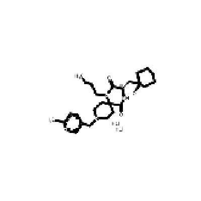 CCCCN1C(=O)[C@@H](CC2(O)CCCCC2)NC(=O)C12CCN(Cc1ccc(C)nc1)CC2.Cl.Cl